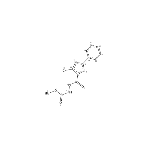 CC(C)(C)OC(=O)NNC(=O)c1sc(-c2cccnc2)nc1Cl